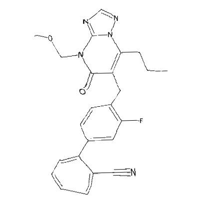 CCCc1c(Cc2ccc(-c3ccccc3C#N)cc2F)c(=O)n(COC)c2ncnn12